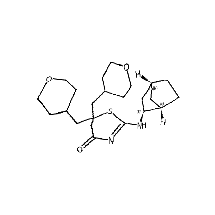 O=C1N=C(N[C@H]2C[C@@H]3CC[C@H]2C3)SC1(CC1CCOCC1)CC1CCOCC1